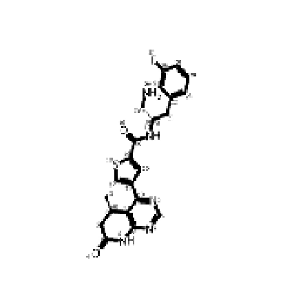 C[C@@H]1CC(=O)Nc2ncnc(-c3csc(C(=O)N[C@H](CN)Cc4cccc(F)c4)c3)c21